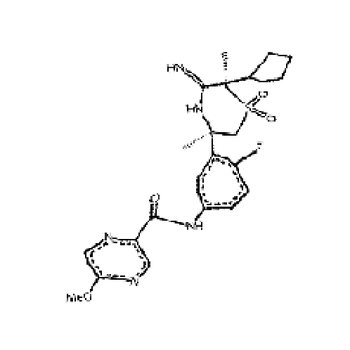 COc1cnc(C(=O)Nc2ccc(F)c([C@]3(C)CS(=O)(=O)[C@](C)(C4CCC4)C(=N)N3)c2)cn1